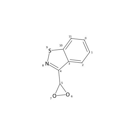 c1ccc2c(C3OO3)nsc2c1